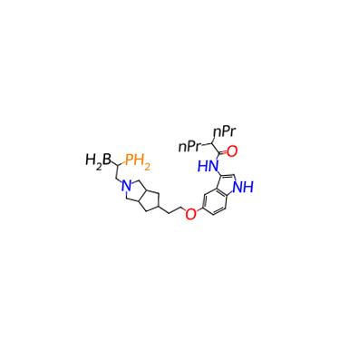 BC(P)CN1CC2CC(CCOc3ccc4[nH]cc(NC(=O)C(CCC)CCC)c4c3)CC2C1